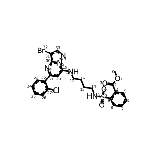 COC(=O)c1ccccc1S(=O)(=O)NCCCCNc1cc(-c2ccccc2Cl)nc2c(Br)cnn12